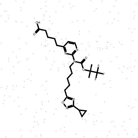 CC(C)(OC(=O)N(CCCCCc1nc(C2CC2)no1)c1nccc(CCCCC(=O)O)n1)C(F)(F)F